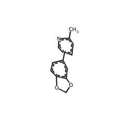 Cc1ccc(-c2ccc3c(c2)OCO3)cn1